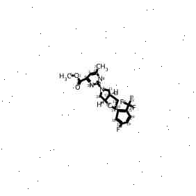 COC(=O)c1cc(C)nc(N2C[C@H]3C[C@@H](c4cc(F)ccc4C(F)(F)F)C[C@H]3C2)n1